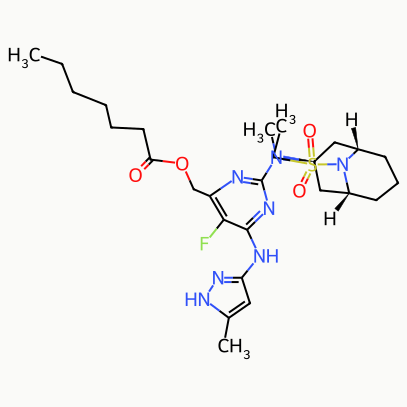 CCCCCCC(=O)OCc1nc(N(C)[C@@H]2C[C@H]3CCC[C@@H](C2)N3S(=O)(=O)CC)nc(Nc2cc(C)[nH]n2)c1F